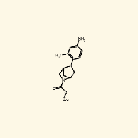 Cc1cc(N)ccc1N1CC2CC1CN2C(=O)OC(C)(C)C